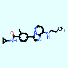 Cc1cc(-c2cnc3c(NCCC(F)(F)F)ccnn23)ccc1C(=O)NC1CC1